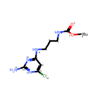 CC(C)(C)OC(=O)NCCCNc1cc(Cl)nc(N)n1